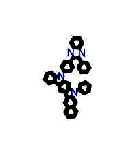 c1ccc(-c2nc3ccccc3nc2-c2ccc(-n3c4ccccc4c4cc5c6cc7ccccc7cc6n(-c6ccccc6)c5cc43)cc2)cc1